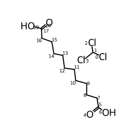 ClC(Cl)Cl.O=C(O)CCCCCCCCCCC(=O)O